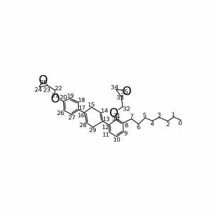 CCCCCCCCc1cccc(C2=CCC(c3ccc(OCC4CO4)cc3)=CC2)c1OCC1CO1